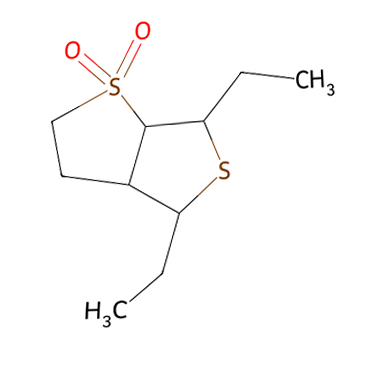 CCC1SC(CC)C2C1CCS2(=O)=O